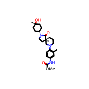 COC(=O)Nc1ccc(N2CCC[C@]3(CCN([C@H]4CC[C@@](C)(O)CC4)C3=O)C2)c(C)c1